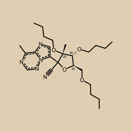 CCCCOC[C@H]1OC(C#N)(c2cnc3c(C)ncnn23)[C@](C)(OCCCC)[C@@H]1OCCCC